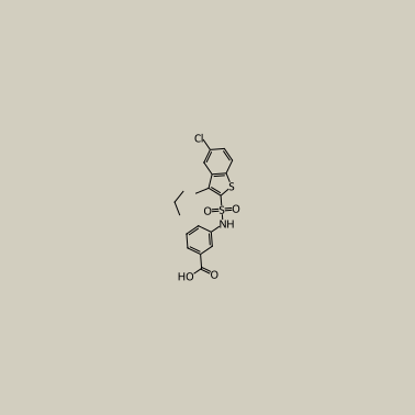 CCC.Cc1c(S(=O)(=O)Nc2cccc(C(=O)O)c2)sc2ccc(Cl)cc12